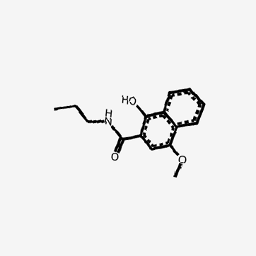 CCCNC(=O)c1cc(OC)c2ccccc2c1O